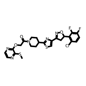 CSc1nccnc1OCC(=O)N1CCC(c2nc(C3=NOC(c4c(Cl)ccc(F)c4F)C3)cs2)CC1